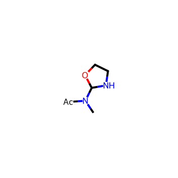 CC(=O)N(C)C1NCCO1